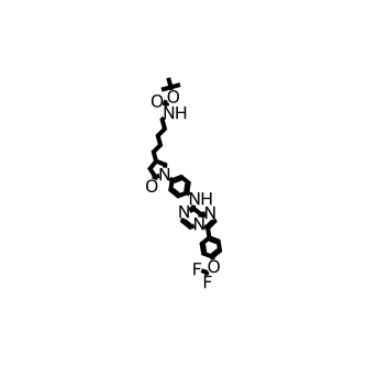 CC(C)(C)OC(=O)NCCCCCC1CC(=O)N(c2ccc(Nc3nccn4c(-c5ccc(OC(F)F)cc5)cnc34)cc2)C1